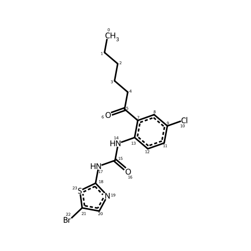 CCCCCC(=O)c1cc(Cl)ccc1NC(=O)Nc1ncc(Br)s1